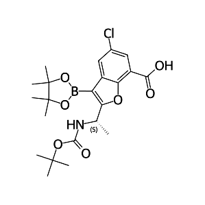 C[C@H](NC(=O)OC(C)(C)C)c1oc2c(C(=O)O)cc(Cl)cc2c1B1OC(C)(C)C(C)(C)O1